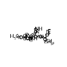 CCN1CCC(COc2ccc(S(=O)(=O)NC(=O)c3ccc(N4CCN(CC5=C(c6ccc(C(F)(F)F)cc6)CC(C)(C)CC5)CC4)cc3Oc3cnc4[nH]ccc4c3)cc2[N+](=O)[O-])CC1